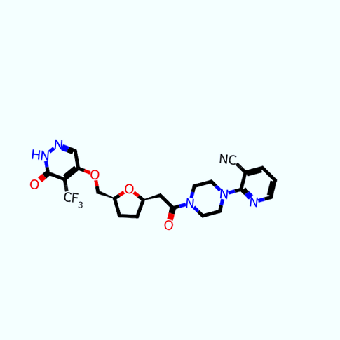 N#Cc1cccnc1N1CCN(C(=O)C[C@H]2CC[C@@H](COc3cn[nH]c(=O)c3C(F)(F)F)O2)CC1